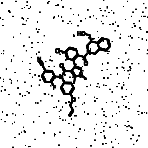 C=CCOc1ccc(N(C(=O)c2c(-c3cc(Cl)ccc3C(=O)N3Cc4ccccc4C(CO)C3)cn(C)c2C)c2cc(C#N)ccc2F)cc1